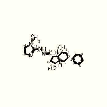 C[C@@H]1C[C@H](c2ccccc2)C[C@H]2[C@H]1[C@@H](/C=N/NC1=NCCN1C)C[C@H]2O